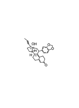 CC#C[C@]1(O)CC[C@H]2[C@@H]3CCC4=CC(=O)CCC4=C3C(c3ccc4c(c3)OCO4)C[C@@]21C